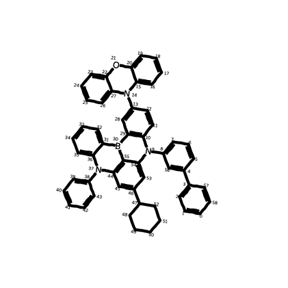 c1ccc(-c2cccc(N3c4ccc(N5c6ccccc6Oc6ccccc65)cc4B4c5ccccc5N(c5ccccc5)c5cc(C6CCCCC6)cc3c54)c2)cc1